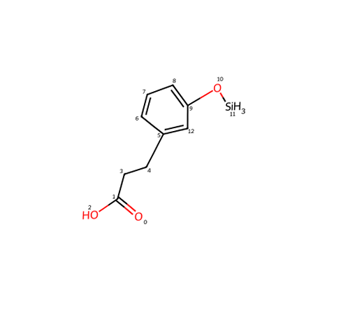 O=C(O)CCc1cccc(O[SiH3])c1